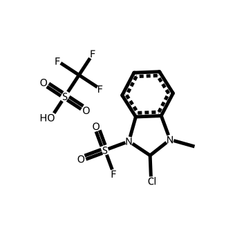 CN1c2ccccc2N(S(=O)(=O)F)C1Cl.O=S(=O)(O)C(F)(F)F